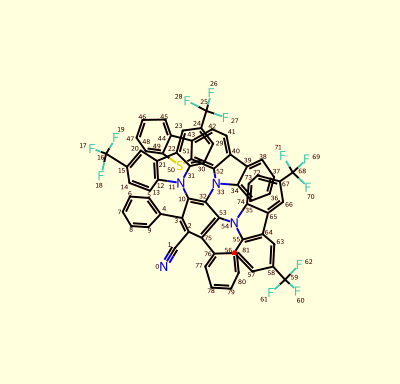 N#Cc1c(-c2ccccc2)c(-n2c3ccc(C(F)(F)F)cc3c3cc(C(F)(F)F)ccc32)c(-n2c3ccccc3c3ccc4c5ccccc5sc4c32)c(-n2c3ccc(C(F)(F)F)cc3c3cc(C(F)(F)F)ccc32)c1-c1ccccc1